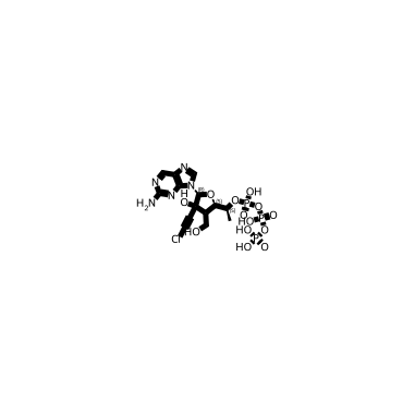 C[C@H](OP(=O)(O)OP(=O)(O)OP(=O)(O)O)[C@H]1O[C@@H](n2cnc3cnc(N)nc32)C(O)(C#CCl)C1CO